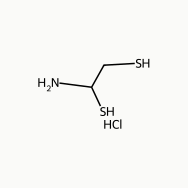 Cl.NC(S)CS